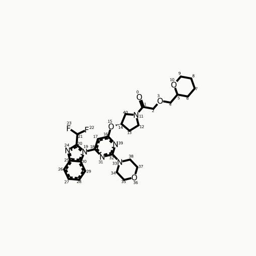 O=C(COCC1CCCCO1)N1CC[C@H](Oc2cc(-n3c(C(F)F)nc4ccccc43)nc(N3CCOCC3)n2)C1